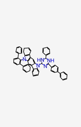 C1=CC(c2cccc(-c3ccccc3)c2-n2c3c(c4cc5c(cc42)c2ccccc2n5C2N=C(c4ccc(-c5ccccc5)cc4)NC(c4ccccc4)N2)C=CCC3)=CCC1